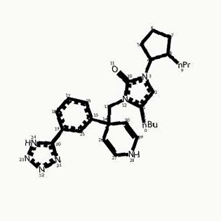 CCCCc1cn(C2CCCC2CCC)c(=O)n1CC1(c2cccc(-c3nnn[nH]3)c2)C=CNC=C1